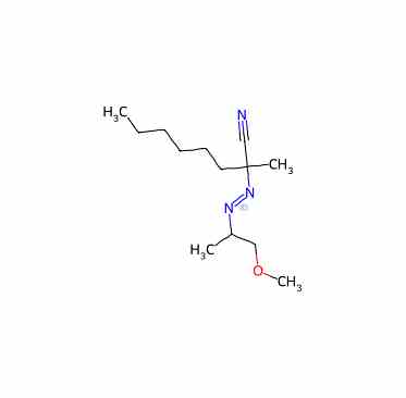 CCCCCCC(C)(C#N)/N=N/C(C)COC